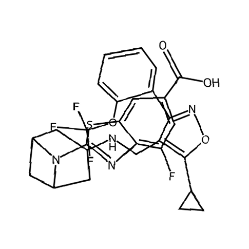 O=C(O)c1cc(F)c2nc(N3C4CC(NCc5c(-c6ccccc6OC(F)(F)F)noc5C5CC5)CC3C4)sc2c1